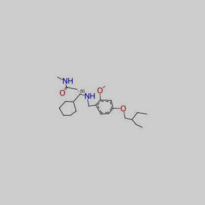 CCC(CC)COc1ccc(CN[C@@H](CC(=O)NC)C2CCCCC2)c(OC)c1